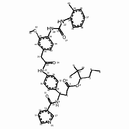 CCCC(OC(=O)CC(NC(=O)c1cccnc1)c1ccc(NC(=O)Cc2ccc(NC(=O)Nc3ccccc3C)c(OC)c2)cc1)C(C)(C)C